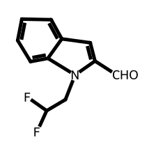 O=Cc1cc2ccccc2n1CC(F)F